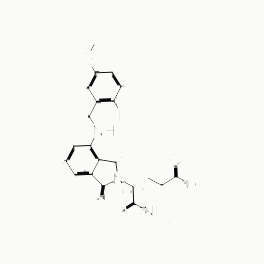 COc1ccc(F)c(CNc2cccc3c2CN([C@H](CCC(=O)O)C(N)=O)C3=O)c1